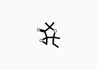 CCC1(C)OC(C)(C)C(=O)C12CO2